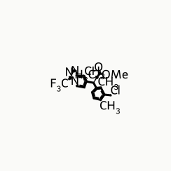 COC(=O)C(C)(C)[C@@H](c1ccc(C)c(CCl)c1)c1ccn2c(C(F)(F)F)nnc2c1C